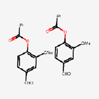 COc1cc(C=O)ccc1OC(=O)C(C)C.COc1cc(C=O)ccc1OC(=O)C(C)C